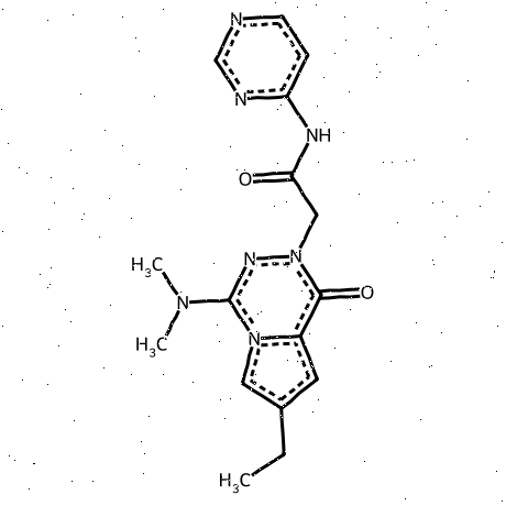 CCc1cc2c(=O)n(CC(=O)Nc3ccncn3)nc(N(C)C)n2c1